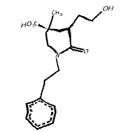 C[C@@]1(C(=O)O)CN(CCc2ccccc2)C(=O)C1CCO